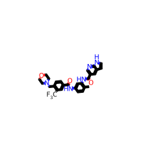 Cc1ccc(NC(=O)c2ccc(CN3CCOCC3)c(C(F)(F)F)c2)cc1NC(=O)c1cnc2[nH]ccc2c1